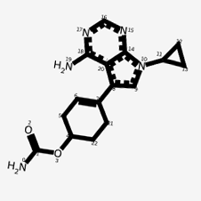 NC(=O)OC1CC=C(c2cn(C3CC3)c3ncnc(N)c23)CC1